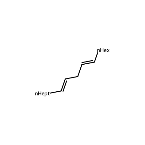 CCCCCCC=CCC=CCCCCCCC